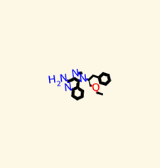 CCOC[C@H](Cc1ccccc1)n1cnc2c(N)nc3ccccc3c21